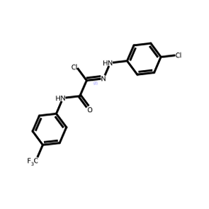 O=C(Nc1ccc(C(F)(F)F)cc1)/C(Cl)=N/Nc1ccc(Cl)cc1